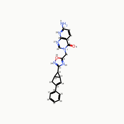 Nc1ccc2c(=O)n(Cc3nc(C4C5C=C(c6ccccc6)CC54)no3)cnc2n1